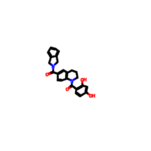 O=C(c1ccc2c(c1)CCCN2C(=O)c1ccc(O)cc1O)N1Cc2ccccc2C1